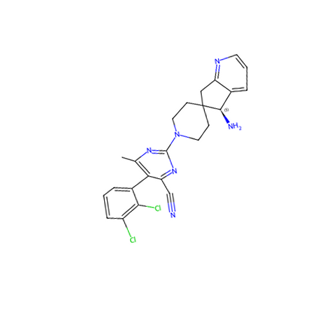 Cc1nc(N2CCC3(CC2)Cc2ncccc2[C@H]3N)nc(C#N)c1-c1cccc(Cl)c1Cl